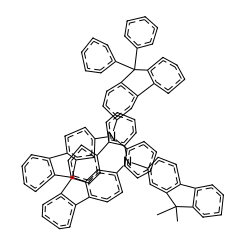 CC1(C)c2ccccc2-c2ccc(N(c3ccc4c(c3)C3(c5ccccc5-c5ccc(N(c6ccccc6)c6ccc7c(c6)-c6ccccc6C7(c6ccccc6)c6ccccc6)cc53)c3ccccc3-4)c3ccccc3-c3ccccc3)cc21